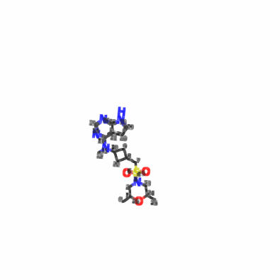 CC1CN(S(=O)(=O)CC2CC(N(C)c3ncnc4[nH]ccc34)C2)CC(C)O1